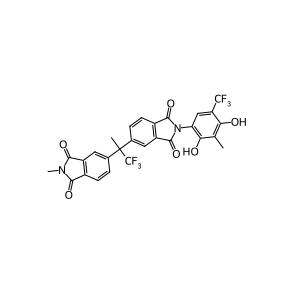 Cc1c(O)c(N2C(=O)c3ccc(C(C)(c4ccc5c(c4)C(=O)N(C)C5=O)C(F)(F)F)cc3C2=O)cc(C(F)(F)F)c1O